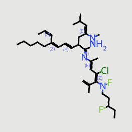 C=C(C)\C(=C(Cl)/C=C(C)/N=C(\C)C(/C=C/C=C(\C=C/C)CCCCC)C/C(=C\C(C)C)N(C)N)N(F)CCC(F)CC